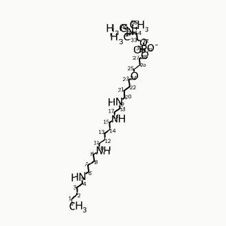 CCCCCNCCCCNCCCCCNCCNCCCCOCCCOP(=O)([O-])OCC[N+](C)(C)C